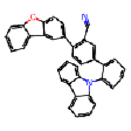 N#Cc1cc(-c2ccccc2-n2c3ccccc3c3ccccc32)ccc1-c1ccc2oc3ccccc3c2c1